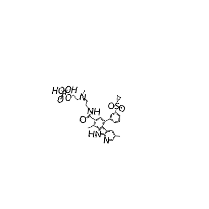 Cc1cnc2[nH]c3c(C)c(C(=O)NCCN(C)CCOP(=O)(O)O)cc(-c4cccc(S(=O)(=O)C5CC5)c4)c3c2c1